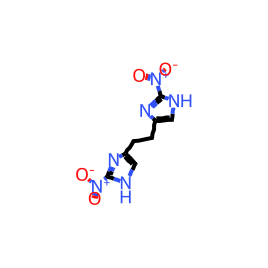 O=[N+]([O-])c1nc(CCc2c[nH]c([N+](=O)[O-])n2)c[nH]1